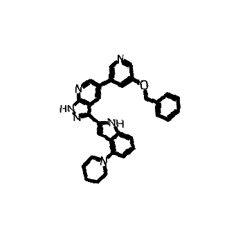 c1ccc(COc2cncc(-c3cnc4[nH]nc(-c5cc6c(N7CCCCC7)cccc6[nH]5)c4c3)c2)cc1